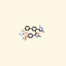 Cc1cc(-c2ccc(-c3cccc(S(N)(=O)=O)c3)cc2-c2oc(C)nc2-c2ccc(OC(F)(F)F)cc2)n(C)n1